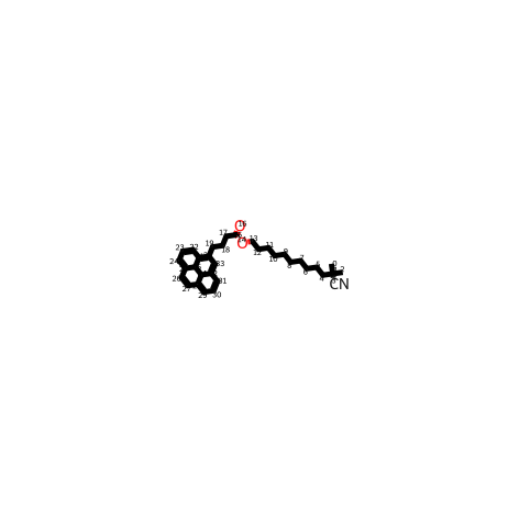 CC(C)(C#N)CCCCCCCCCCOC(=O)CCCC1=C2C=CC=C3C=CC4=CC=CC(=C1)C4C32